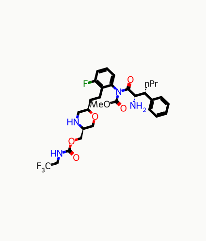 CCC[C@H](c1ccccc1)[C@H](N)C(=O)N(C(=O)OC)c1cccc(F)c1CC[C@@H]1CN[C@H](COC(=O)NCC(F)(F)F)CO1